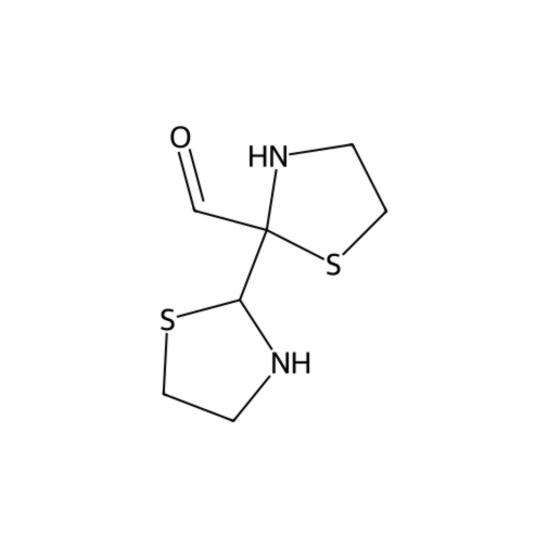 O=CC1(C2NCCS2)NCCS1